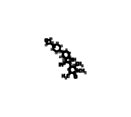 Cc1cc(-c2[nH]c3ccc(C4CCN(C5COC5)CC4)cc3c2C(C)C)c(C)n(C)c1=O